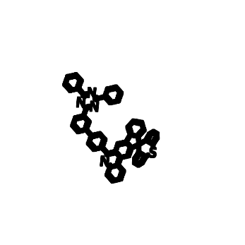 c1ccc(-c2nc(-c3ccccc3)nc(-c3cccc(-c4ccc(-c5nc6ccccc6c6cc7c(cc56)-c5ccccc5C75c6ccccc6Sc6ccccc65)cc4)c3)n2)cc1